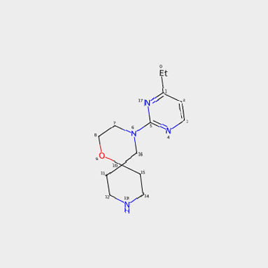 CCc1ccnc(N2CCOC3(CCNCC3)C2)n1